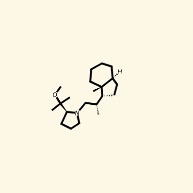 COC(C)(C)[C@@H]1CCCN1C[C@@H](C)[C@H]1CC[C@@H]2CCCC[C@]21C